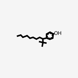 CCCCCCCCC(c1ccc(O)cc1)C(C)(C)C